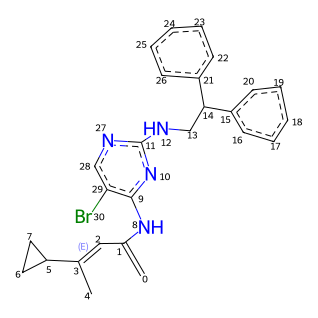 C=C(/C=C(\C)C1CC1)Nc1nc(NCC(c2ccccc2)c2ccccc2)ncc1Br